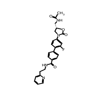 CC(=O)NC[C@H]1CN(c2ccc(-c3ccc(C(=O)NCCc4ccccn4)cc3)c(F)c2)C(=O)O1